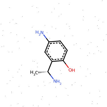 C[C@@H](N)c1cc(N)ccc1O